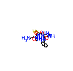 CC(=O)N[C@@H](CCCCN)C(=O)NC(CS)C(=O)N[C@@H](CC1CNCN1)C(=O)NCc1cccc2ccccc12